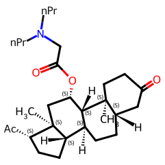 CCCN(CCC)CC(=O)O[C@H]1C[C@]2(C)[C@@H](C(C)=O)CC[C@H]2[C@@H]2CC[C@H]3CC(=O)CC[C@]3(C)[C@H]21